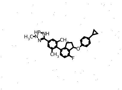 Cc1cc(C2=NN(C)PN2)cc(C)c1-c1ccc(F)c2c1CCC2Oc1ccc(C2CC2)cc1